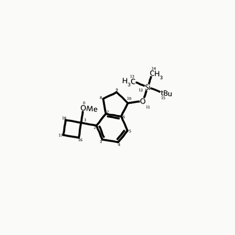 COC1(c2cccc3c2CCC3O[Si](C)(C)C(C)(C)C)CCC1